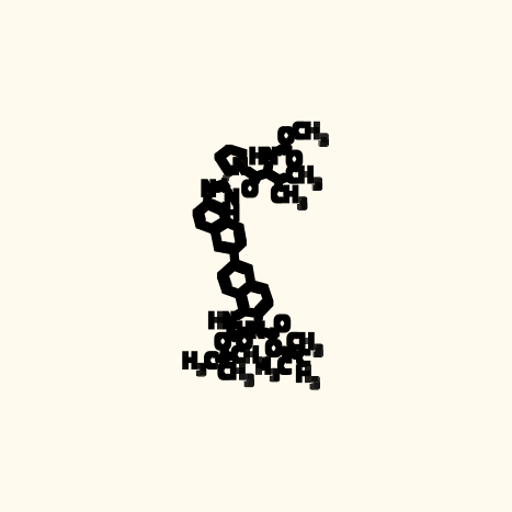 COC(=O)NC(C(=O)N1CCC[C@H]1c1nc2ccc3cc(-c4ccc5c(NC(=O)OC(C)(C)C)c(NC(=O)OC(C)(C)C)ccc5c4)ccc3c2[nH]1)C(C)C